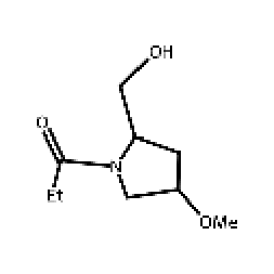 CCC(=O)N1CC(OC)CC1CO